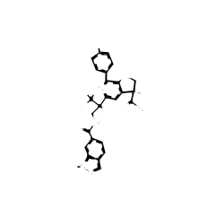 Cn1ncc2ccc(C(=O)NCC(O)(c3cc4c(c(-c5ccc(F)cc5)n3)OC[C@]4(C)C(N)=O)C(F)(F)F)cc21